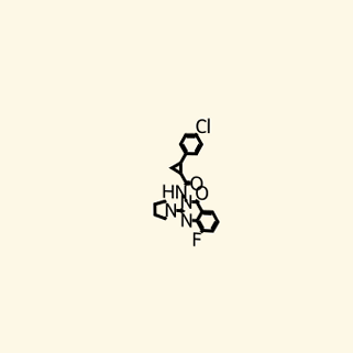 O=C(Nn1c(N2CCCC2)nc2c(F)cccc2c1=O)C1CC1c1ccc(Cl)cc1